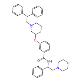 O=C(NC(CN1CCOCC1)c1ccccc1)c1cccc(OC2CCCN(CC(c3ccccc3)c3ccccc3)C2)c1